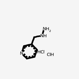 Cl.Cl.NNCc1cccnc1